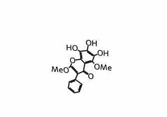 COc1oc2c(O)c(O)c(O)c(OC)c2c(=O)c1-c1ccccc1